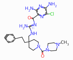 CN1CCN(C(=O)N2CCC(CCc3cc#ccc3)(CN/C(N)=N/C(=O)c3nc(Cl)c(N)nc3N)CC2)CC1